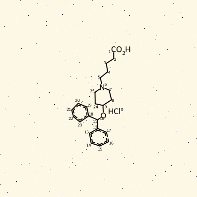 Cl.O=C(O)CCCCN1CCC(OC(c2ccccc2)c2ccccc2)CC1